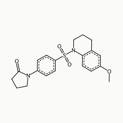 COc1ccc2c(c1)CCCN2S(=O)(=O)c1ccc(N2CCCC2=O)cc1